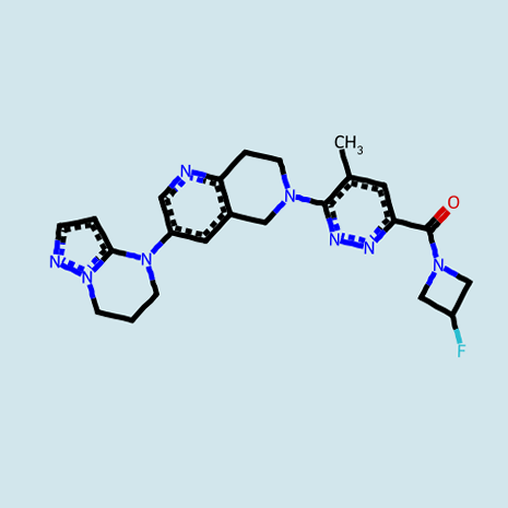 Cc1cc(C(=O)N2CC(F)C2)nnc1N1CCc2ncc(N3CCCn4nccc43)cc2C1